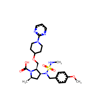 CNS(=O)(=O)N(Cc1ccc(OC)cc1)[C@H]1C[C@@H](C)N(C(=O)O)[C@H]1COC1CCN(c2ncccn2)CC1